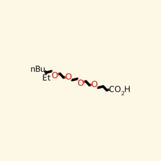 CCCCC(CC)COCCOCCOCCOCCCC(=O)O